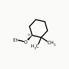 CCO[C@H]1CCCCC1(C)C